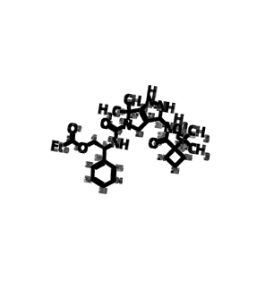 CCC(=O)OC[C@@H](NC(=O)N1CC2=C(NNC2NC(=O)C2([Si](C)(C)C)CCC2)C1(C)C)c1ccccc1